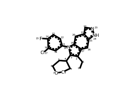 CCc1c(C2CCOCC2)n(-c2ccc(F)c(Cl)c2)c2cc3cn[nH]c3cc12